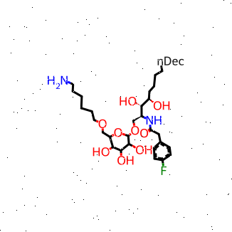 CCCCCCCCCCCCCC[C@@H](O)[C@@H](O)[C@H](COC1OC(COCCCCCCN)C(O)C(O)C1O)NC(=O)Cc1ccc(F)cc1